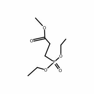 CCOP(=O)(CCC(=O)OC)OCC